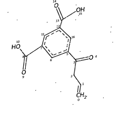 C=CCC(=O)c1cc(C(=O)O)cc(C(=O)O)c1